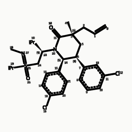 C=CC[C@@]1(C)C[C@H](c2cccc(Cl)c2)[C@@H](c2ccc(Cl)cc2)N([C@H](CS(=O)(=NC)C(C)C)C(C)C)C1=O